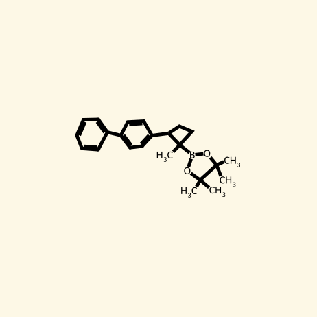 CC1(B2OC(C)(C)C(C)(C)O2)CCC1c1ccc(-c2ccccc2)cc1